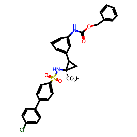 O=C(Nc1cccc(C2C[C@]2(NS(=O)(=O)c2ccc(-c3ccc(Cl)cc3)cc2)C(=O)O)c1)OCc1ccccc1